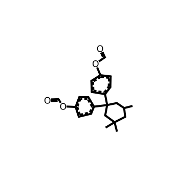 CC1CC(C)(C)CC(c2ccc(OC=O)cc2)(c2ccc(OC=O)cc2)C1